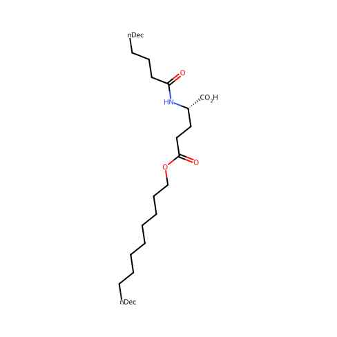 CCCCCCCCCCCCCCCCCCOC(=O)CC[C@H](NC(=O)CCCCCCCCCCCCC)C(=O)O